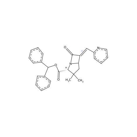 CC1(C)CC2/C(=C\c3ccccn3)C(=O)N2[C@H]1C(=O)OC(c1ccccc1)c1ccccc1